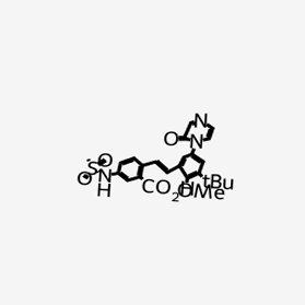 COc1c(C=Cc2ccc(NS(C)(=O)=O)cc2C(=O)O)cc(-n2ccncc2=O)cc1C(C)(C)C